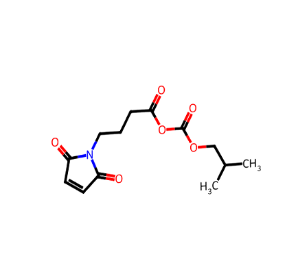 CC(C)COC(=O)OC(=O)CCCN1C(=O)C=CC1=O